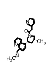 C=NCc1ccc([C@H]2C[C@@H](C)CN(C(=O)Cc3cccnc3)C2)c2cccnc12